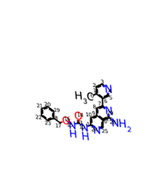 Cc1ccncc1-c1cc2cc(NC(=O)NOCc3ccccc3)ncc2c(N)n1